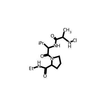 CCNC(=O)C1CCCN1C(=O)C(NC(=O)C(C)NCl)C(C)C